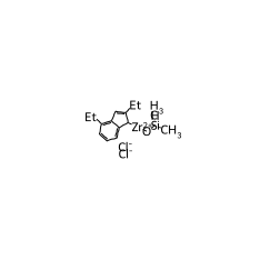 CCC1=Cc2c(CC)cccc2[CH]1[Zr+2][O][SiH](C)C.[Cl-].[Cl-]